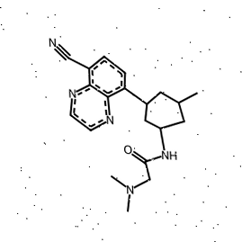 CC1CC(NC(=O)CN(C)C)CC(c2ccc(C#N)c3nccnc23)C1